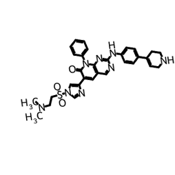 CN(C)CCS(=O)(=O)n1cnc(-c2cc3cnc(Nc4ccc(C5=CCNCC5)cc4)nc3n(-c3ccccc3)c2=O)c1